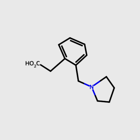 O=C(O)Cc1ccccc1CN1CCCC1